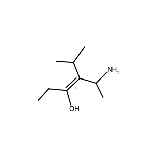 CC/C(O)=C(\C(C)C)C(C)N